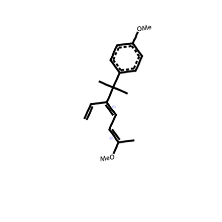 C=C/C(=C\C=C(/C)OC)C(C)(C)c1ccc(OC)cc1